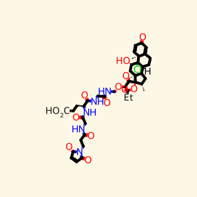 CCC(=O)O[C@]1(C(=O)COCNC(=O)CNC(=O)[C@H](CCC(=O)O)NC(=O)CNC(=O)CCN2C(=O)C=CC2=O)[C@@H](C)CC2[C@@H]3CCC4=CC(=O)C=C[C@]4(C)[C@@]3(Cl)[C@@H](O)C[C@@]21C